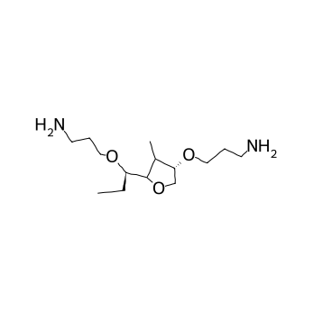 CC[C@@H](OCCCN)C1OC[C@@H](OCCCN)C1C